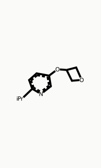 CC(C)c1ccc(OC2COC2)cn1